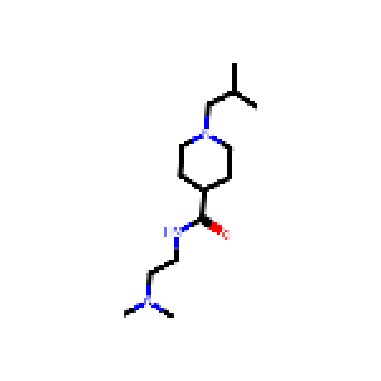 C[C](C)CN1CCC(C(=O)NCCN(C)C)CC1